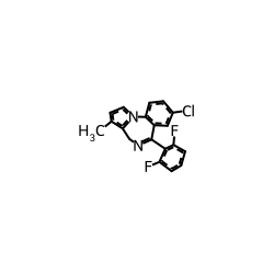 Cc1ccn2c1CN=C(c1c(F)cccc1F)c1cc(Cl)ccc1-2